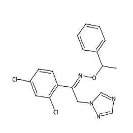 CC(ON=C(Cn1cncn1)c1ccc(Cl)cc1Cl)c1ccccc1